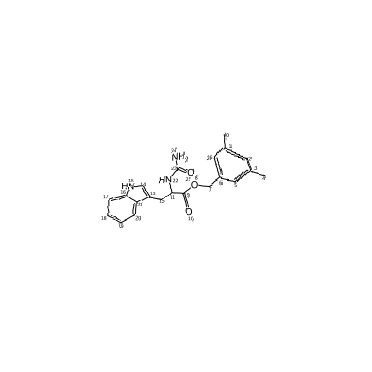 Cc1cc(C)cc(COC(=O)C(Cc2c[nH]c3ccccc23)NC(N)=O)c1